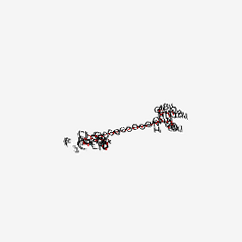 CC(C)(C)OC(=O)CN1CCN(CC(=O)NCCOCCOCCOCCOCCOCCOCCOCCOCCOc2cc(Cl)c(-c3cnc(C(F)(F)F)cc3C#N)cc2S(=O)(=O)N2CCC(C)(C)c3ccccc32)CCN(CC(=O)OC(C)(C)C)CCN(CC(=O)OC(C)(C)C)CC1